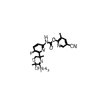 Cc1cc(C#N)cnc1OC(=O)Nc1ccc(F)c(C2(C)COC(C)(C(F)(F)F)C(N)=N2)n1